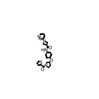 O=C(Nc1ccc(O[C@@H]2CCN(C(=O)c3cccs3)C2)cc1)C1CN(c2cccnn2)C1